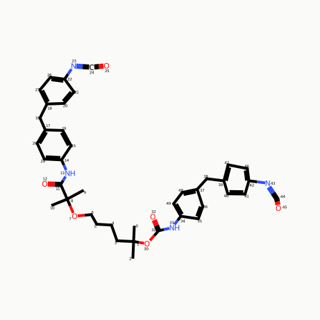 CC(C)(CCCCOC(C)(C)C(=O)Nc1ccc(Cc2ccc(N=C=O)cc2)cc1)OC(=O)Nc1ccc(Cc2ccc(N=C=O)cc2)cc1